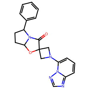 O=C1N2C(CCC2c2ccccc2)OC12CN(c1cccc3ncnn13)C2